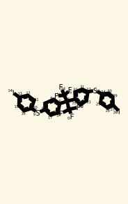 FC(F)(F)C(c1ccc(Sc2ccc(I)cc2)cc1)(c1ccc(Sc2ccc(I)cc2)cc1)C(F)(F)F